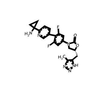 Cc1nn[nH]c1C[C@@H]1CN(c2cc(F)c(-c3ccc(C4(N)CC4)nc3)c(F)c2)C(=O)O1